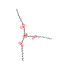 CCCCCCCCCCCCOC(=O)CCCCCOP(=S)(SCCCCCC(=O)OCCCCCCCCCCCC)SCCCCCC(=O)OCCCCCCCCCCCC